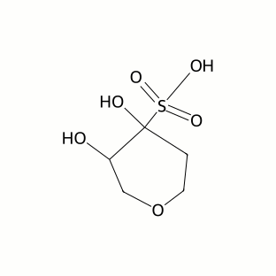 O=S(=O)(O)C1(O)CCOCC1O